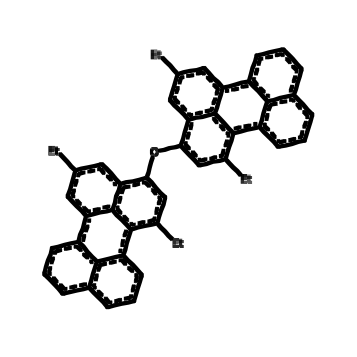 CCc1cc2c(Oc3cc(CC)c4c5cccc6cccc(c7cc(CC)cc3c74)c65)cc(CC)c3c4cccc5cccc(c(c1)c23)c54